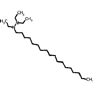 CCCCCCCCCCCCCCCCCCN(CC)N(CC)CC